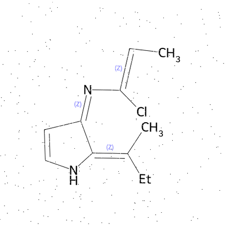 C/C=C(Cl)/N=C1/C=CN/C1=C(/C)CC